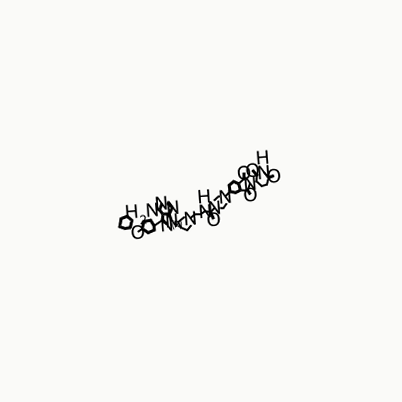 Nc1ncnc2c1c(-c1ccc(Oc3ccccc3)cc1)nn2[C@@H]1CCCN(CCNC(=O)N2CCN(c3ccc4c(c3)C(=O)N(C3CCC(=O)NC3=O)C4=O)CC2)C1